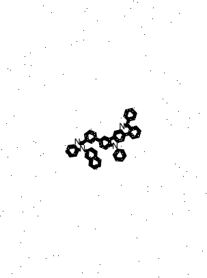 c1ccc(-c2nc3cc4c5cc(-c6cccc(-c7nc8ccccc8n7-c7ccc8ccccc8c7)c6)ccc5n(-c5ccccc5)c4cc3c3ccccc23)cc1